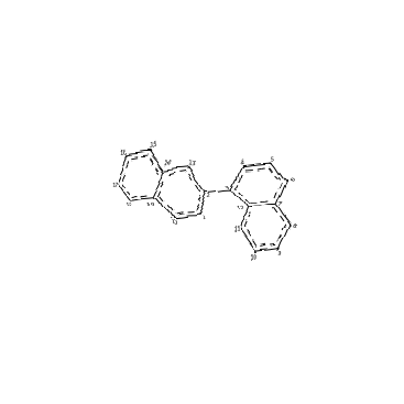 [c]1cc(-c2cccc3ccccc23)cc2ccccc12